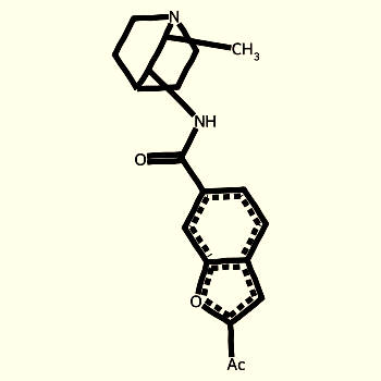 CC(=O)c1cc2ccc(C(=O)NC3C4CCN(CC4)C3C)cc2o1